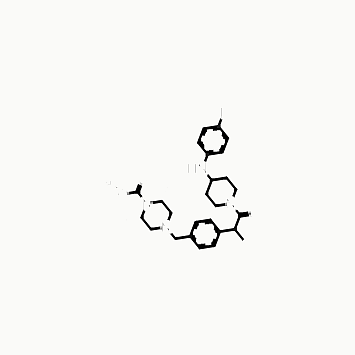 CC(C(=O)N1CCC(Nc2ccc(F)cc2)CC1)c1ccc(CN2C[C@@H](C)N(C(=O)OC(C)(C)C)[C@@H](C)C2)cc1